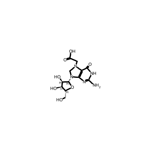 Nc1nc2c(c(=O)[nH]1)N(CC(=O)O)CN2[C@@H]1O[C@H](CO)[C@@H](O)[C@H]1O